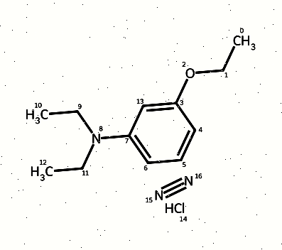 CCOc1cccc(N(CC)CC)c1.Cl.N#N